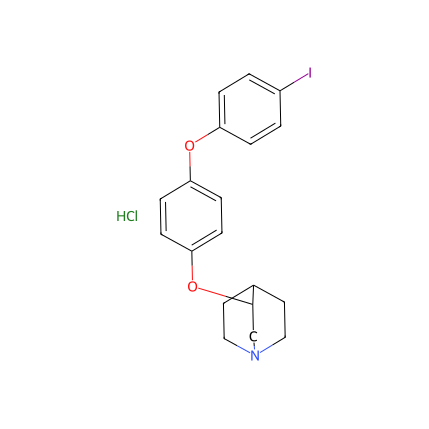 Cl.Ic1ccc(Oc2ccc(OC3CN4CCC3CC4)cc2)cc1